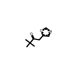 CC(C)(C)C(=O)Cc1cnco1